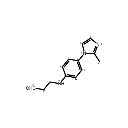 Cc1nccn1-c1ccc(NCCC=O)cc1